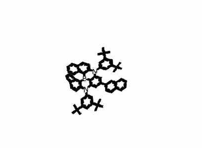 CC(C)(C)c1cc(N2c3cc(-c4ccc5ccccc5c4)cc4c3B(c3c2ccc2ccccc32)c2c(ccc3ccccc23)N4c2cc(C(C)(C)C)cc(C(C)(C)C)c2)cc(C(C)(C)C)c1